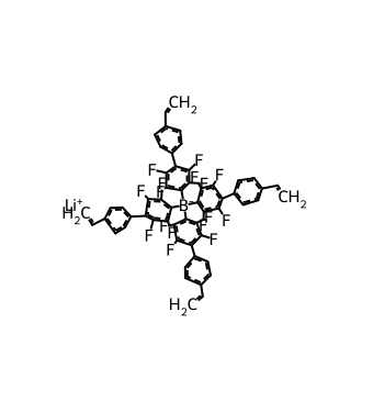 C=Cc1ccc(-c2c(F)c(F)c([B-](c3c(F)c(F)c(-c4ccc(C=C)cc4)c(F)c3F)(c3c(F)c(F)c(-c4ccc(C=C)cc4)c(F)c3F)c3c(F)c(F)c(-c4ccc(C=C)cc4)c(F)c3F)c(F)c2F)cc1.[Li+]